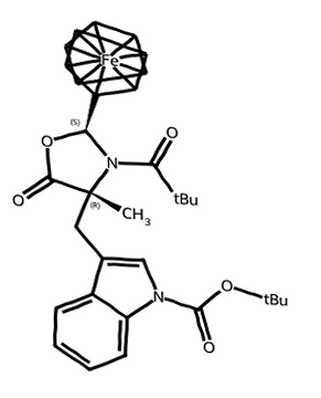 CC(C)(C)OC(=O)n1cc(C[C@]2(C)C(=O)O[C@@H]([C]34[CH]5[CH]6[CH]7[CH]3[Fe]6754389%10[CH]4[CH]3[CH]8[CH]9[CH]4%10)N2C(=O)C(C)(C)C)c2ccccc21